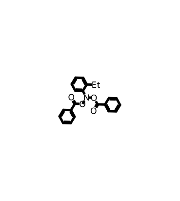 CCc1ccccc1N(OC(=O)c1ccccc1)OC(=O)c1ccccc1